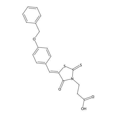 O=C(O)CCN1C(=O)/C(=C/c2ccc(OCc3ccccc3)cc2)SC1=S